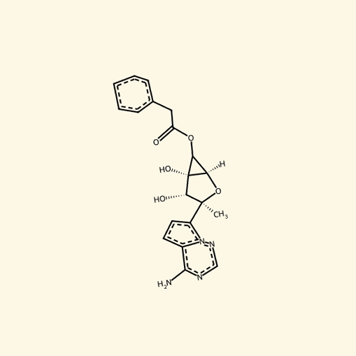 C[C@@]1(c2ccc3c(N)ncnn23)O[C@@H]2C(OC(=O)Cc3ccccc3)[C@]2(O)[C@H]1O